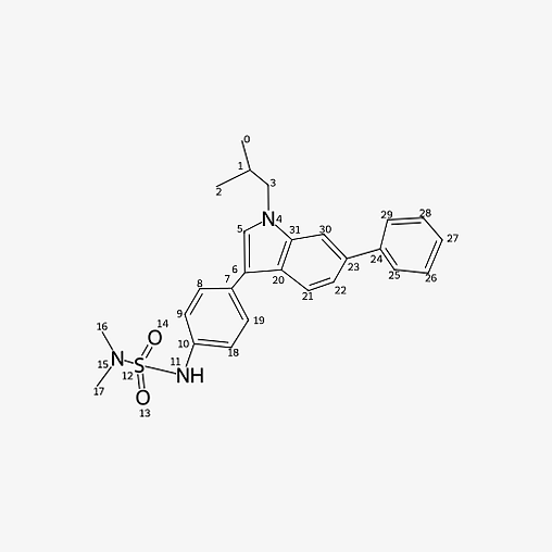 CC(C)Cn1cc(-c2ccc(NS(=O)(=O)N(C)C)cc2)c2ccc(-c3ccccc3)cc21